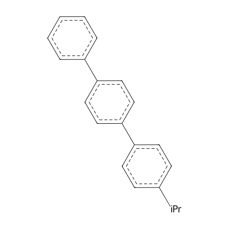 CC(C)c1ccc(-c2ccc(-c3ccccc3)cc2)cc1